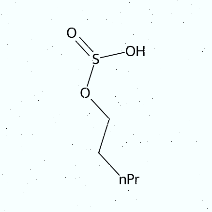 CCCCCOS(=O)O